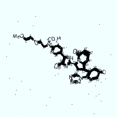 COCCOCCN(C(=O)O)c1ccc(-c2[nH]c([C@@H]3CC(c4cc(Cl)ccc4-n4cnnn4)c4cccc(=O)n43)nc2Cl)cn1